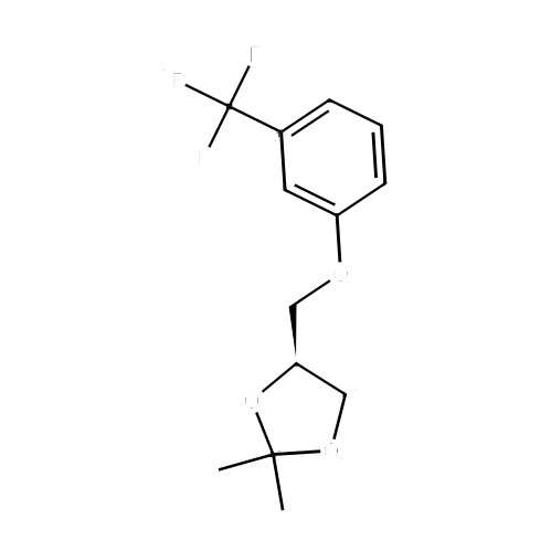 CC1(C)OC[C@H](COc2cccc(C(F)(F)F)c2)O1